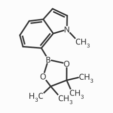 Cn1ccc2cccc(B3OC(C)(C)C(C)(C)O3)c21